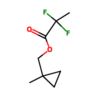 CC1(COC(=O)C(C)(F)F)CC1